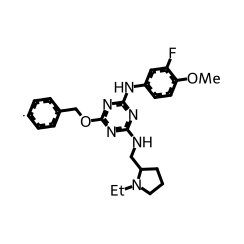 CCN1CCCC1CNc1nc(Nc2ccc(OC)c(F)c2)nc(OCc2cc[c]cc2)n1